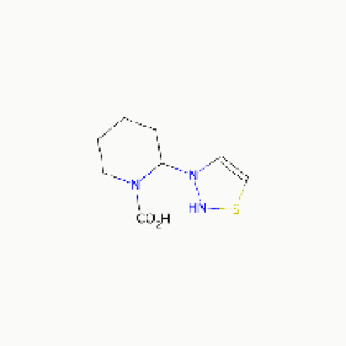 O=C(O)N1CCCCC1N1C=CSN1